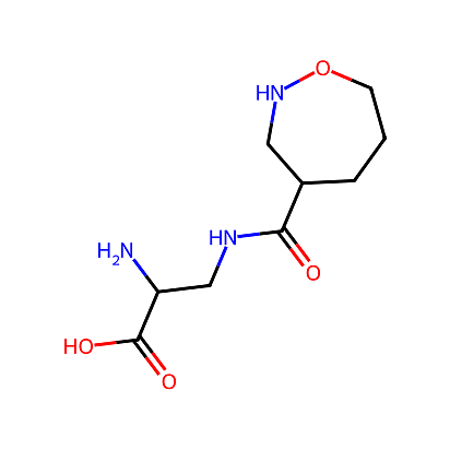 NC(CNC(=O)C1CCCONC1)C(=O)O